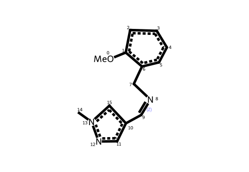 COc1ccccc1C/N=C\c1cnn(C)c1